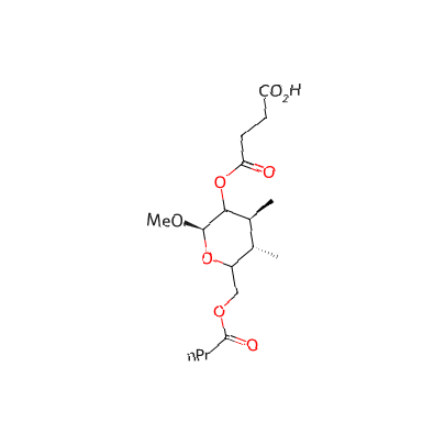 CCCC(=O)OCC1O[C@@H](OC)C(OC(=O)CCC(=O)O)[C@@H](C)[C@@H]1C